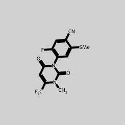 CSc1cc(-n2c(=O)cc(C(F)(F)F)n(C)c2=O)c(F)cc1C#N